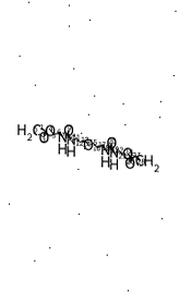 C=CC(=O)OCCNC(=O)NCCCOCCCNC(=O)NCCOC(=O)C=C